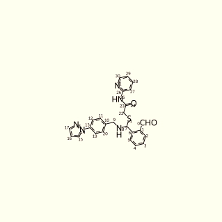 O=Cc1ccccc1C(NCc1ccc(-n2cccn2)cc1)SCC(=O)Nc1ccccn1